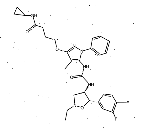 CCN1C[C@@H](NC(=O)Nc2c(C)c(OCCCC(=O)NC3CC3)nn2-c2ccccc2)[C@H](c2ccc(F)c(F)c2)O1